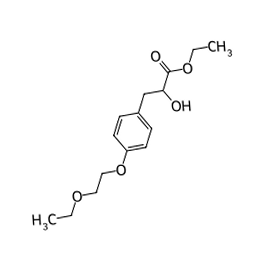 CCOCCOc1ccc(CC(O)C(=O)OCC)cc1